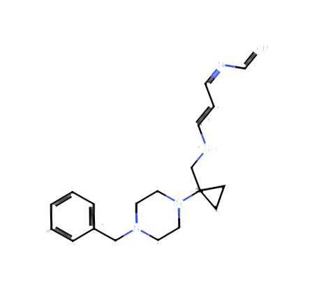 C=C/N=C\C=C\NCC1(N2CCN(Cc3ccccc3)CC2)CC1